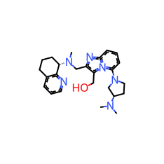 CN(C)[C@@H]1CCN(c2cccc3nc(CN(C)[C@H]4CCCc5cccnc54)c(CO)n23)C1